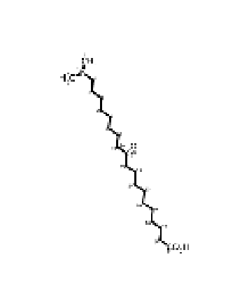 CN(C)CCCCCCCCCCCCCCCCCCC(=O)O.O